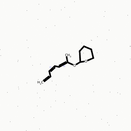 C=C/C=C\C=C(/C)OC1CCCCO1